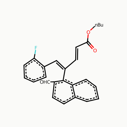 CCCCOC(=O)/C=C/C(=C/c1ccccc1F)c1c(C=O)ccc2ccccc12